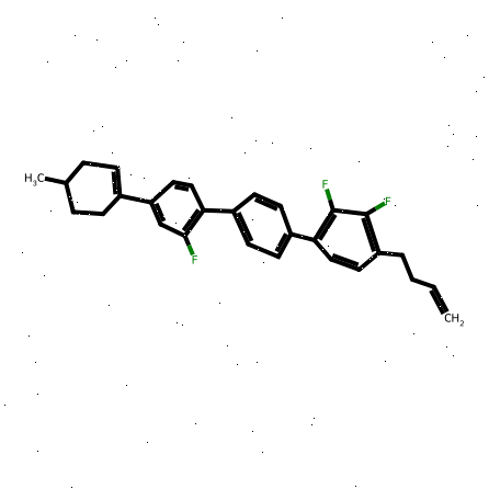 C=CCCc1ccc(-c2ccc(-c3ccc(C4=CCC(C)CC4)cc3F)cc2)c(F)c1F